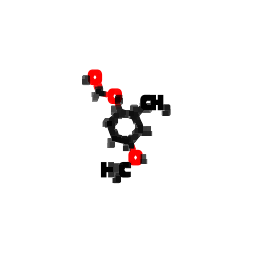 COc1ccc(OC=O)c(C)c1